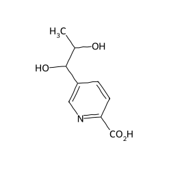 CC(O)C(O)c1ccc(C(=O)O)nc1